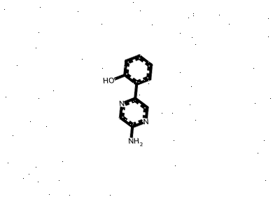 Nc1cnc(-c2ccccc2O)cn1